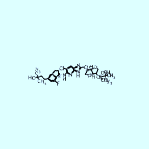 CC(C)(O)CCc1cc(F)c2c(c1)CC[C@@H]2Nc1nc2[nH]c(O[C@@H]3CO[C@@H]4C(O[Si](C)(C)C(C)(C)C)CO[C@@H]43)nc2cc1Cl